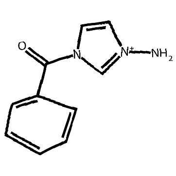 N[n+]1ccn(C(=O)c2ccccc2)c1